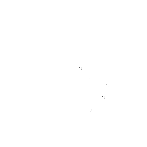 Cc1c(N2Cc3cccc(O)c3C2)cn[nH]c1=O